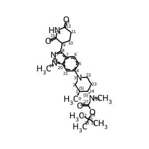 C[C@H]1CN(c2ccc3c(C4CCC(=O)NC4=O)nn(C)c3c2)CC[C@@H]1N(C)C(=O)OC(C)(C)C